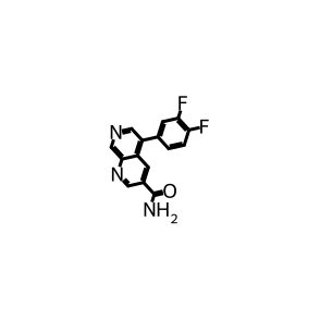 NC(=O)c1cnc2cncc(-c3ccc(F)c(F)c3)c2c1